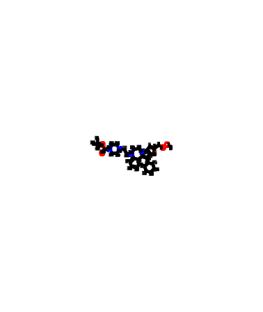 COOCc1cc2c(s1)c(C1CCCCC1)c1n2CCN(CCN2CCN(C(=O)OC(C)(C)C)CC2)c2ccccc2-1